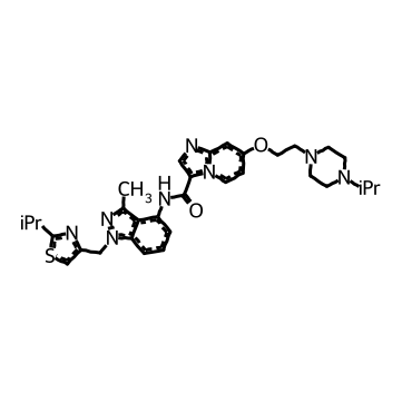 Cc1nn(Cc2csc(C(C)C)n2)c2cccc(NC(=O)c3cnc4cc(OCCN5CCN(C(C)C)CC5)ccn34)c12